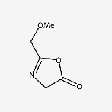 COCC1=NCC(=O)O1